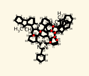 CC1(C)c2ccccc2-c2ccc3c(c21)c1ccccc1n3-c1cccc(-c2nc(-c3ccccc3)nc(-c3ccccc3)n2)c1-c1cccc(-c2c(-c3nc(-c4ccccc4)nc(-c4ccccc4)n3)cccc2-n2c3ccccc3c3c4c(ccc32)-c2ccccc2C4(C)C)c1